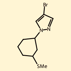 CSC1CCCC(n2cc(Br)cn2)C1